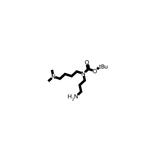 CN(C)CCCCN(CCCN)C(=O)OC(C)(C)C